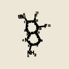 CC(C)(C)c1cc2nc(N)ccc2c(F)c1F